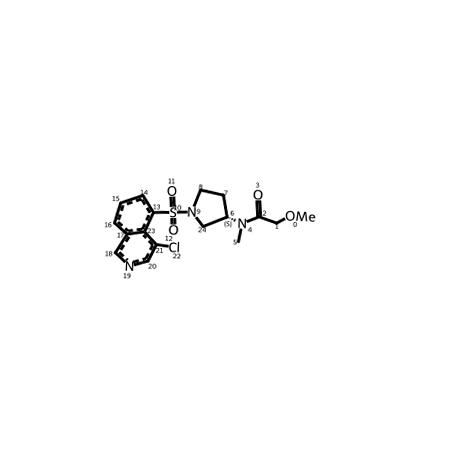 COCC(=O)N(C)[C@H]1CCN(S(=O)(=O)c2cccc3cncc(Cl)c23)C1